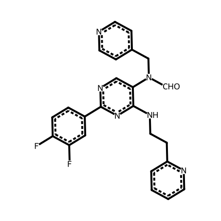 O=CN(Cc1ccncc1)c1cnc(-c2ccc(F)c(F)c2)nc1NCCc1ccccn1